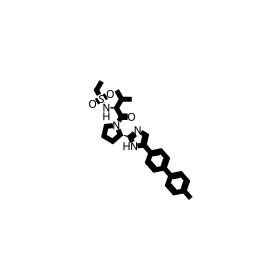 CCS(=O)(=O)N[C@@H](C(=O)N1CCC[C@H]1c1ncc(-c2ccc(-c3ccc(C)cc3)cc2)[nH]1)C(C)C